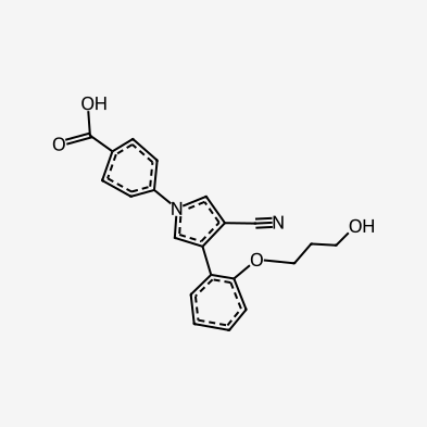 N#Cc1cn(-c2ccc(C(=O)O)cc2)cc1-c1ccccc1OCCCO